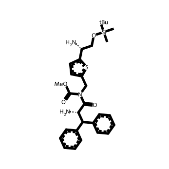 COC(=O)N(Cc1ccc([C@H](N)CO[Si](C)(C)C(C)(C)C)s1)C(=O)[C@@H](N)C(c1ccccc1)c1ccccc1